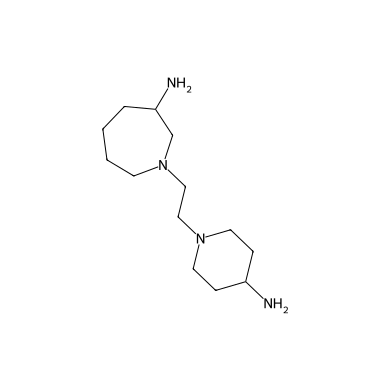 NC1CCN(CCN2CCCCC(N)C2)CC1